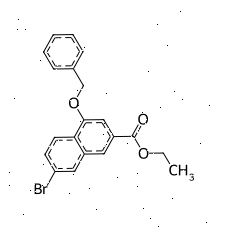 CCOC(=O)c1cc(OCc2ccccc2)c2ccc(Br)cc2c1